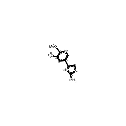 COc1ncc(-c2csc(N)n2)cc1C(F)(F)F